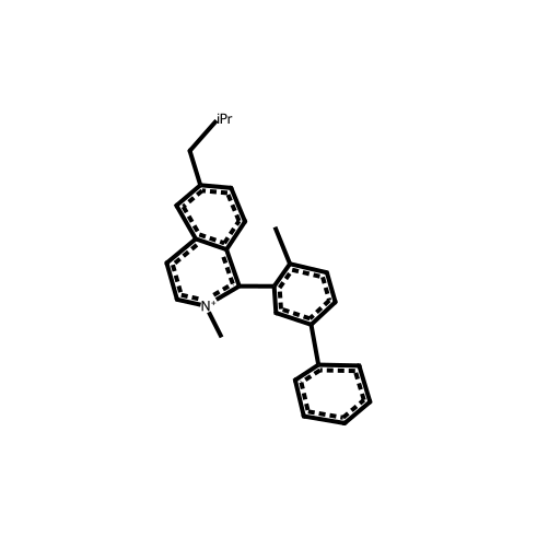 Cc1ccc(-c2ccccc2)cc1-c1c2ccc(CC(C)C)cc2cc[n+]1C